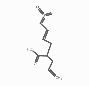 C=CCC(CC=CC=S(=O)=O)C(=O)O